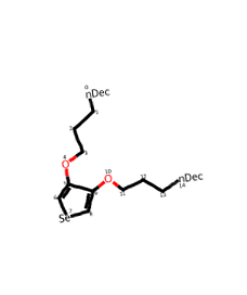 CCCCCCCCCCCCCOc1c[se]cc1OCCCCCCCCCCCCC